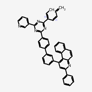 C=C/C=C\C(=C/C)c1nc(-c2ccc(-c3cccc(-c4cc(-c5ccccc5)nc5ccc6ccccc6c45)c3)cc2)nc(-c2cccnc2)n1